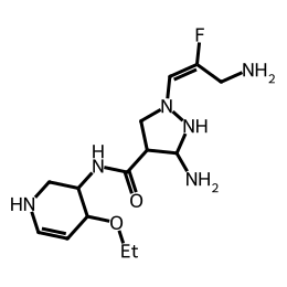 CCOC1C=CNCC1NC(=O)C1CN(/C=C(/F)CN)NC1N